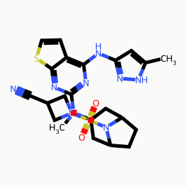 Cc1cc(Nc2nc(N(C)C3CC4CCC(C3)N4S(=O)(=O)N3CC(C#N)C3)nc3sccc23)n[nH]1